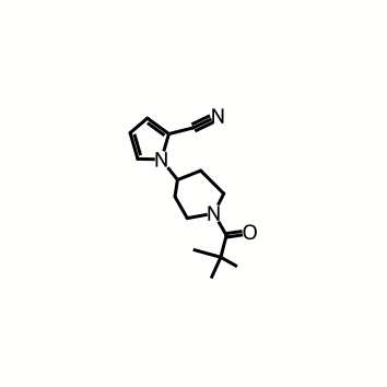 CC(C)(C)C(=O)N1CCC(n2cccc2C#N)CC1